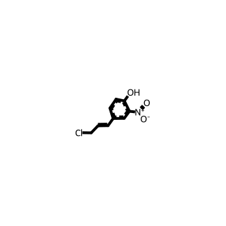 O=[N+]([O-])c1cc(C=CCCl)ccc1O